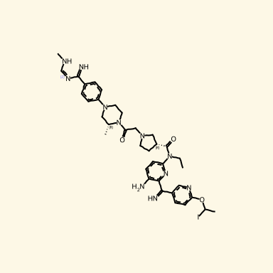 CCN(C(=O)[C@@H]1CCN(CC(=O)N2CCN(c3ccc(C(=N)/N=C\NC)cc3)C[C@H]2C)C1)c1ccc(N)c(C(=N)c2ccc(OC(C)I)nc2)n1